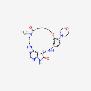 CN1CCNc2ncnc3c2/C(=C/Nc2ccc(N4CCOCC4)c(c2)OCCCCC1=O)C(=O)N3